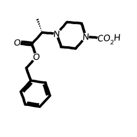 C[C@@H](C(=O)OCc1ccccc1)N1CCN(C(=O)O)CC1